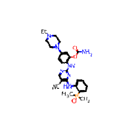 CCN1CCN(c2ccc(Nc3ncc(C#N)c(Nc4ccccc4P(C)(C)=O)n3)c(OC(N)=O)c2)CC1